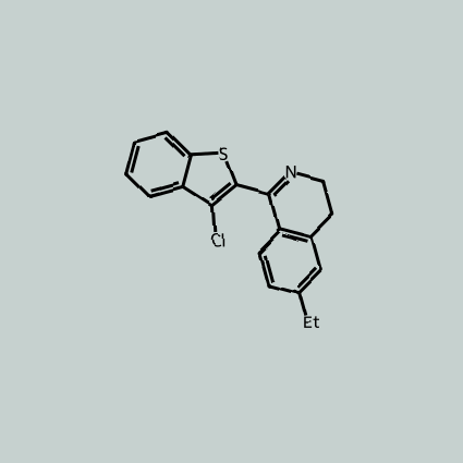 CCc1ccc2c(c1)CCN=C2c1sc2ccccc2c1Cl